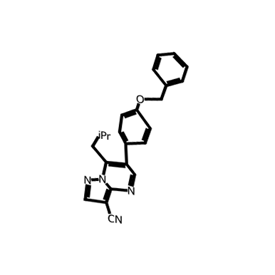 CC(C)Cc1c(-c2ccc(OCc3ccccc3)cc2)cnc2c(C#N)cnn12